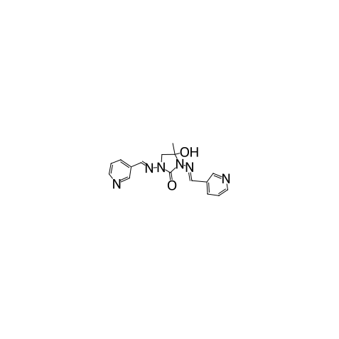 CC1(O)CN(N=Cc2cccnc2)C(=O)N1N=Cc1cccnc1